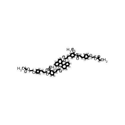 C=CC(=O)OCCOc1ccc(/C=C/C(=O)Oc2ccc(/C=C/C(=O)Oc3ccc4ccccc4c3-c3c(OC(=O)/C=C/c4ccc(OC(=O)/C=C/c5ccc(OCCOC(=O)C=C)cc5)c(OC)c4)ccc4ccccc34)cc2OC)cc1